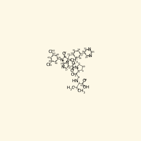 CC(C)[C@H](NCC(=O)[C@@H]1CCCN1S(=O)(=O)c1cnc2n1[C@](C)(Cc1ccc(-c3cncnc3)cc1)C(=O)N2c1cc(Cl)cc(Cl)c1)C(=O)O